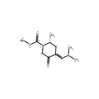 C[C@@H]1C/C(=C\N(C)C)C(=O)CN1C(=O)OC(C)(C)C